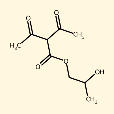 CC(=O)C(C(C)=O)C(=O)OCC(C)O